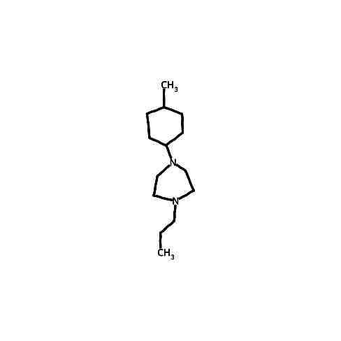 CCCN1CCN(C2CCC(C)CC2)CC1